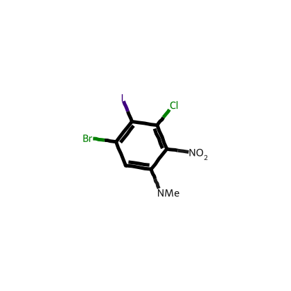 CNc1cc(Br)c(I)c(Cl)c1[N+](=O)[O-]